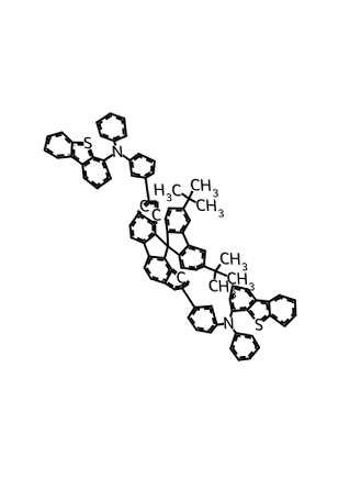 CC(C)(C)c1ccc2c(c1)-c1cc(C(C)(C)C)ccc1C21c2c(ccc3cc(-c4cccc(N(c5ccccc5)c5cccc6c5sc5ccccc56)c4)ccc23)-c2ccc3cc(-c4cccc(N(c5ccccc5)c5cccc6c5sc5ccccc56)c4)ccc3c21